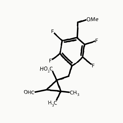 COCc1c(F)c(F)c(CC2(C(=O)O)C(C=O)C2(C)C)c(F)c1F